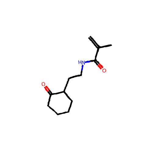 C=C(C)C(=O)NCCC1CCCCC1=O